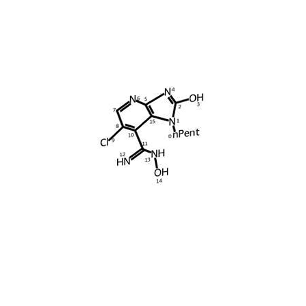 CCCCCn1c(O)nc2ncc(Cl)c(C(=N)NO)c21